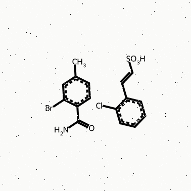 Cc1ccc(C(N)=O)c(Br)c1.O=S(=O)(O)C=Cc1ccccc1Cl